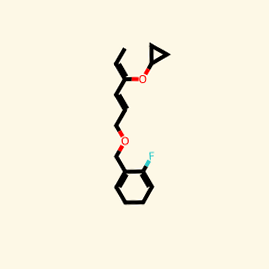 C/C=C(/C=C/COCC1=CCCC=C1F)OC1CC1